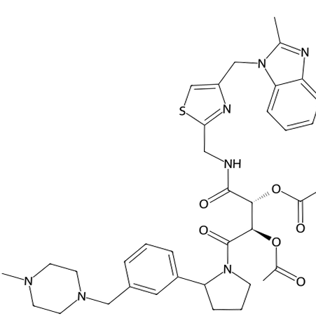 CC(=O)O[C@@H](C(=O)NCc1nc(Cn2c(C)nc3ccccc32)cs1)[C@@H](OC(C)=O)C(=O)N1CCCC1c1cccc(CN2CCN(C)CC2)c1